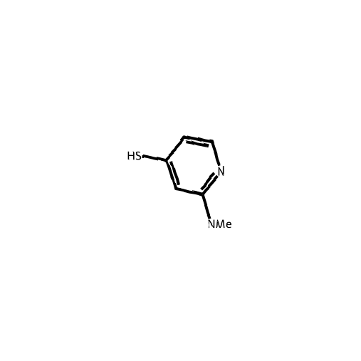 CNc1cc(S)ccn1